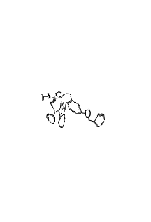 CC12C=CC(=O)C(c3ccccc3)[C@@H]1c1ccc(OCc3ccccc3)cc1CC2